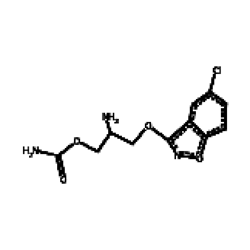 NC(=O)OCC(N)COc1noc2ccc(Cl)cc12